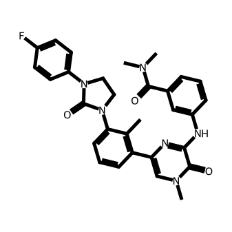 Cc1c(-c2cn(C)c(=O)c(Nc3cccc(C(=O)N(C)C)c3)n2)cccc1N1CCN(c2ccc(F)cc2)C1=O